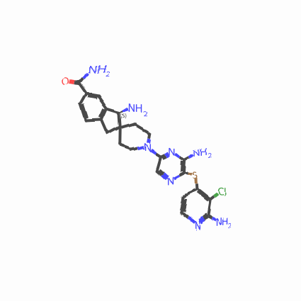 NC(=O)c1ccc2c(c1)[C@@H](N)C1(CCN(c3cnc(Sc4ccnc(N)c4Cl)c(N)n3)CC1)C2